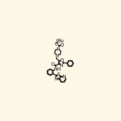 CC(C)(C)OC(=O)N1CCN(Cc2oc(-c3ccccc3)nc2C(=O)Nc2ccccc2-c2nc3cccnc3s2)CC1